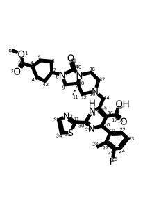 COC(=O)C1CCC(N2C[C@]3(C)CN(CC4=C(C(=O)O)C(c5cccc(F)c5C)N=C(c5nccs5)N4)CCN3C2=O)CC1